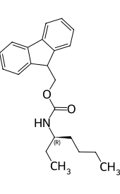 CCCC[C@@H](CC)NC(=O)OCC1c2ccccc2-c2ccccc21